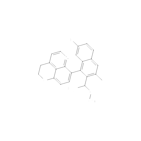 Cc1cc2ccc(F)cc2c(-c2ccc3c4c(ccnc24)CCO3)c1C(OC(C)(C)C)C(=O)O